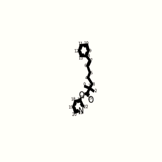 CC(C)(CCCC=Cc1ccccc1)C(=O)Oc1cccnc1